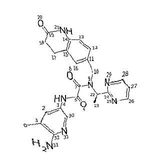 Cc1cc(NC(=O)C(=O)N(Cc2ccc3c(c2)CCC(=O)N3)[C@H](C)c2ncccn2)cnc1N